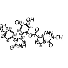 Cn1nnc2c(C(=O)Oc3cc(O)c(Cl)cc3-c3n[nH]c(=O)n3-c3ccc4c(ccn4C)c3)ncn2c1=O